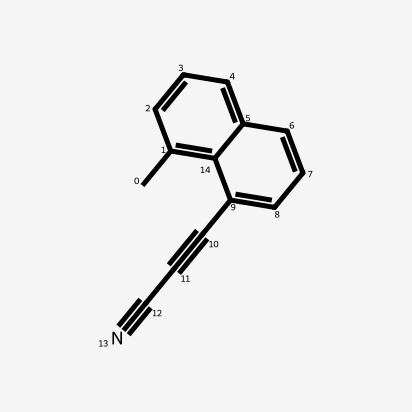 Cc1cccc2cccc(C#CC#N)c12